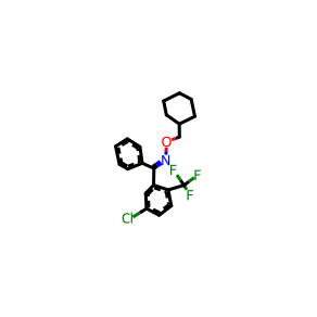 FC(F)(F)c1ccc(Cl)cc1/C(=N/OCC1CCCCC1)c1ccccc1